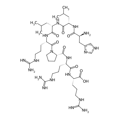 CC(C)C[C@H](NC(=O)[C@H](CC(C)C)NC(=O)[C@@H](N)Cc1c[nH]cn1)C(=O)N[C@@H](CCCNC(=N)N)C(=O)N1CCC[C@H]1C(=O)N[C@@H](CCCNC(=N)N)C(=O)N[C@@H](CCCNC(=N)N)C(=O)O